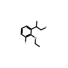 CCOc1c(I)cccc1[C](C)CF